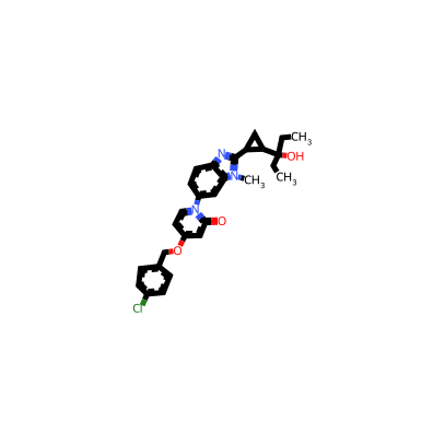 CCC(O)(CC)C1CC1c1nc2ccc(-n3ccc(OCc4ccc(Cl)cc4)cc3=O)cc2n1C